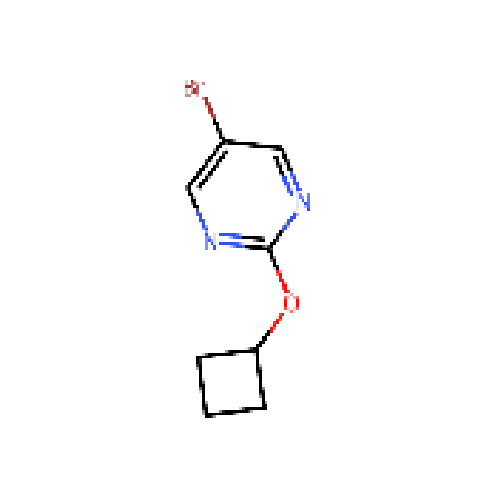 Brc1cnc(OC2CCC2)nc1